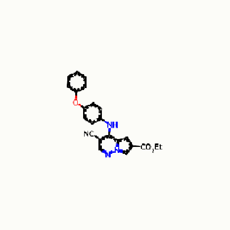 CCOC(=O)c1cc2c(Nc3ccc(Oc4ccccc4)cc3)c(C#N)cnn2c1